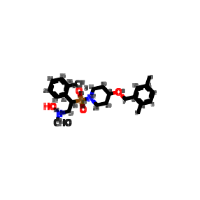 Cc1ccc(C)c(COC2CCN(S(=O)(=O)C(CN(O)C=O)c3ccccc3C(F)(F)F)CC2)c1